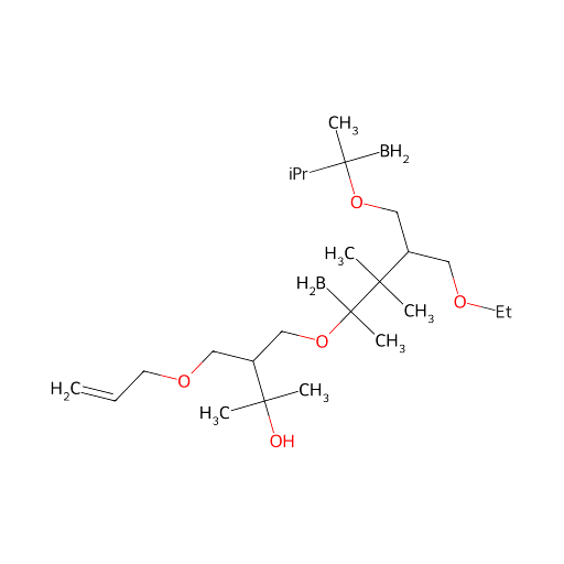 BC(C)(OCC(COCC)C(C)(C)C(B)(C)OCC(COCC=C)C(C)(C)O)C(C)C